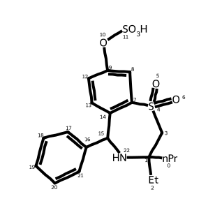 CCCC1(CC)CS(=O)(=O)c2cc(OS(=O)(=O)O)ccc2C(c2ccccc2)N1